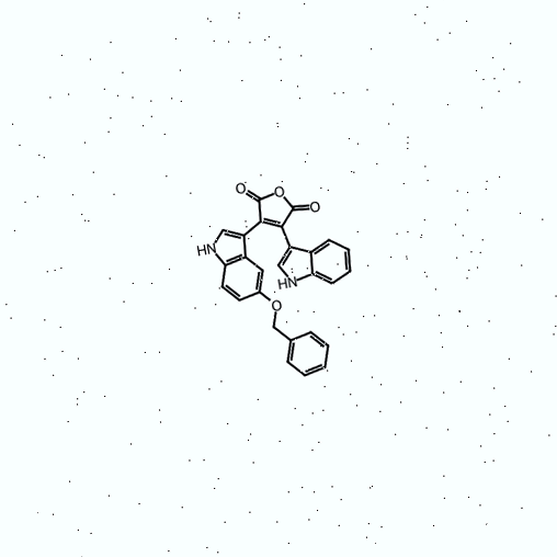 O=C1OC(=O)C(c2c[nH]c3ccc(OCc4ccccc4)cc23)=C1c1c[nH]c2ccccc12